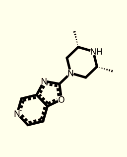 C[C@@H]1CN(c2nc3cnccc3o2)C[C@H](C)N1